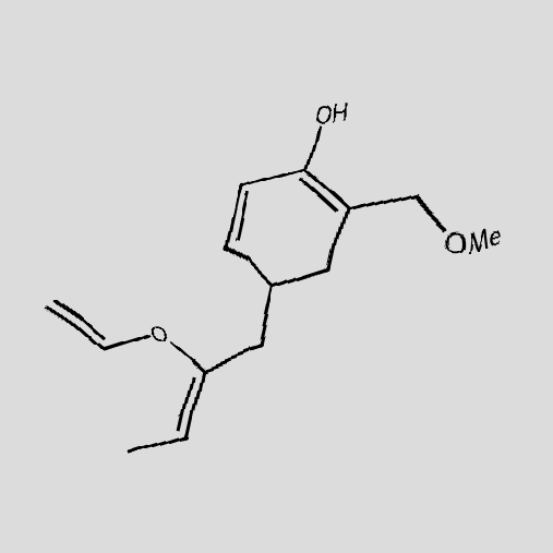 C=CO/C(=C\C)CC1C=CC(O)=C(COC)C1